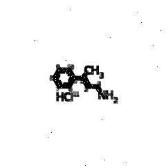 C/C(=C\CN)c1ccccc1.Cl